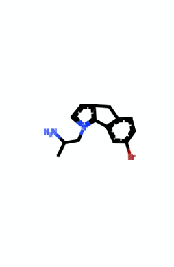 CC(N)Cn1ccc2c1-c1cc(Br)ccc1C2